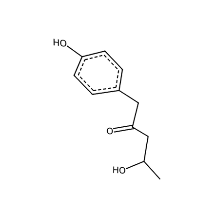 CC(O)CC(=O)Cc1ccc(O)cc1